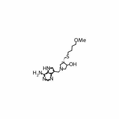 COCCCCSC[C@H]1CN(Cc2c[nH]c3c(N)ncnc23)CC1O